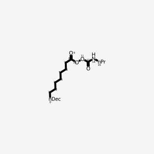 CCCCCCCCCCCCCCCCCC(=O)OOC(=O)NCCC